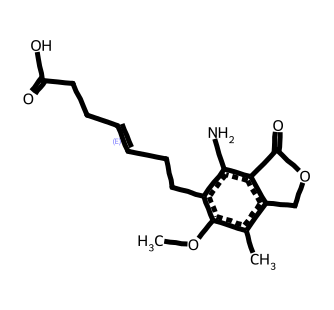 COc1c(C)c2c(c(N)c1CC/C=C/CCC(=O)O)C(=O)OC2